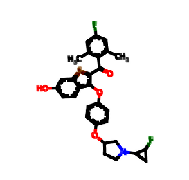 Cc1cc(F)cc(C)c1C(=O)c1sc2cc(O)ccc2c1Oc1ccc(O[C@@H]2CCN(C3CC3F)C2)cc1